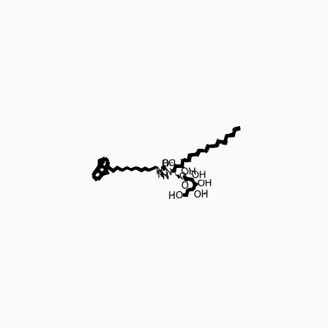 CCCCCCCCCCCCCC[C@@H](O)[C@@H](O)[C@H](COC1OC(CO)C(O)C(O)C1O)n1nnn(CCCCCCCCCCC2C3C4CC5C6C4CC3C6C25)c1=O